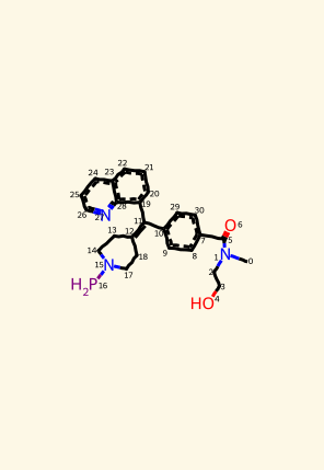 CN(CCO)C(=O)c1ccc(C(=C2CCN(P)CC2)c2cccc3cccnc23)cc1